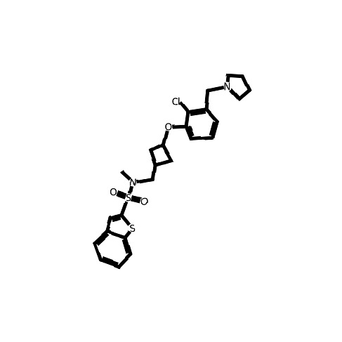 CN(CC1CC(Oc2cccc(CN3CCCC3)c2Cl)C1)S(=O)(=O)c1cc2ccccc2s1